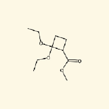 CCOC1(OCC)CCC1C(=O)OC